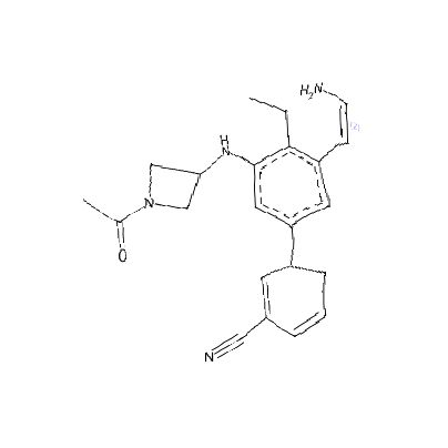 CCc1c(/C=C\N)cc(C2C=C(C#N)C=CC2)cc1NC1CN(C(C)=O)C1